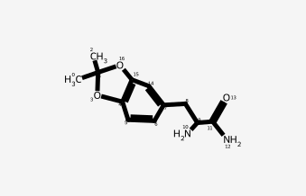 CC1(C)Oc2ccc(CC(N)C(N)=O)cc2O1